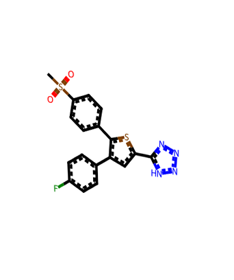 CS(=O)(=O)c1ccc(-c2sc(-c3nnn[nH]3)cc2-c2ccc(F)cc2)cc1